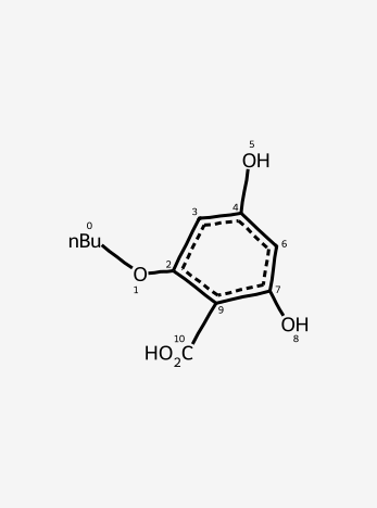 CCCCOc1cc(O)cc(O)c1C(=O)O